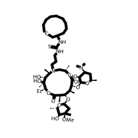 CC[C@H]1OC(=O)[C@H](C)[C@@H](O[C@H]2C[C@@](C)(OC)[C@@H](O)[C@H](C)O2)[C@H](C)[C@@H](O[C@@H]2O[C@H](C)C[C@H](N(C)C)[C@H]2O)[C@](C)(O)C[C@@H](C)CN(CCCNC(=S)NC2CCCCCCCCCCC2)[C@H](C)[C@@H](O)[C@]1(C)O